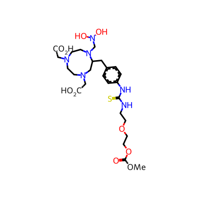 COC(=O)OCCOCCNC(=S)Nc1ccc(CC2CN(CC(=O)O)CCN(CC(=O)O)CCN2CN(O)O)cc1